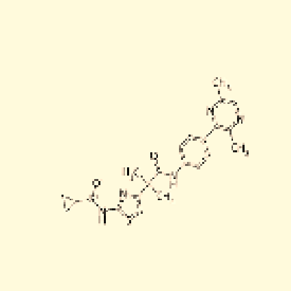 Cc1cnc(C)c(-c2ccc(NC(=O)C(C)(C)c3csc(N[S+]([O-])C4CC4)n3)cc2)n1